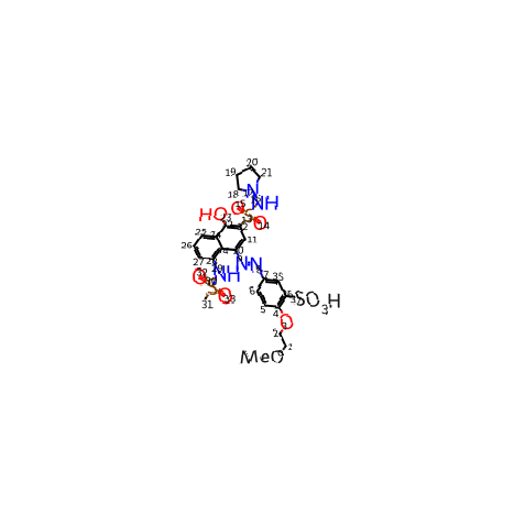 COCCOc1ccc(N=Nc2cc(S(=O)(=O)NN3CCCC3)c(O)c3cccc(NS(C)(=O)=O)c23)cc1S(=O)(=O)O